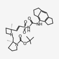 CC(C)(C)OC(=O)N1CCC[C@@]1(C)CN1CC[C@@]1(C)/C=C/S(=O)(=O)NC(=O)Nc1c2c(cc3c1CCC3)CCC2